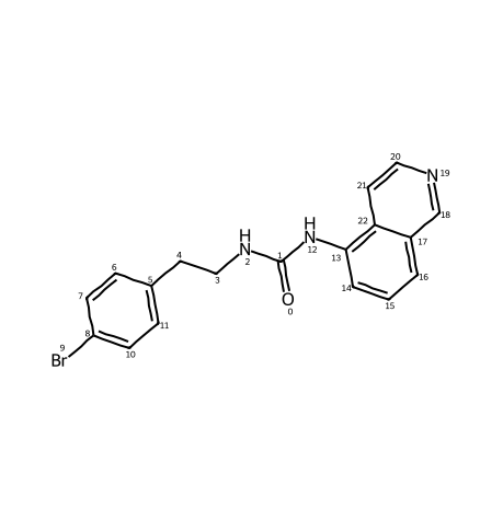 O=C(NCCc1ccc(Br)cc1)Nc1cccc2cnccc12